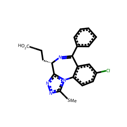 CSc1nnc2n1-c1ccc(Cl)cc1C(c1ccccc1)=N[C@H]2CCC(=O)O